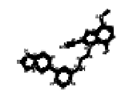 COc1ccc(F)c2c1cc(C#N)n2CCNc1cc(-c2ccc3nccn3c2)ncn1